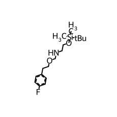 CC(C)(C)[Si](C)(C)OCCNCOCCc1ccc(F)cc1